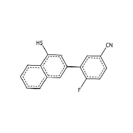 N#Cc1ccc(F)c(-c2[c]c(S)c3ccccc3c2)c1